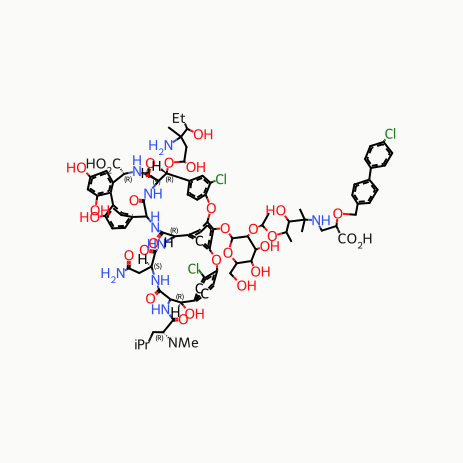 CCC(O)C(C)(N)CC(O)O[C@@H]1c2ccc(c(Cl)c2)Oc2cc3cc(c2OC2OC(CO)C(O)C(O)C2OC(C)OC(C)C(O)C(C)(C)NCC(OCc2ccc(-c4ccc(Cl)cc4)cc2)C(=O)O)Oc2ccc(cc2Cl)[C@@H](O)C(NC(=O)[C@@H](CC(C)C)NC)C(=O)N[C@@H](CC(N)=O)C(=O)N[C@H]3C(=O)NC2C(=O)N[C@@H]1C(=O)N[C@@H](C(=O)O)c1cc(O)cc(O)c1-c1cc2ccc1O